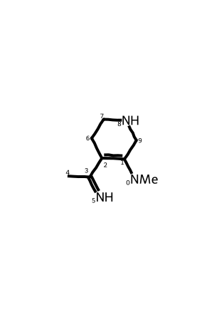 CNC1=C(C(C)=N)CCNC1